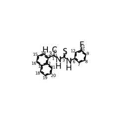 C[C@H](NC(=S)Nc1cccc(F)c1)c1cccc2ccccc12